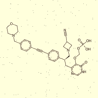 N#CC1CN(C[C@@H](Cc2nc[nH]c(=O)c2OCOP(=O)(O)O)c2ccc(C#Cc3ccc(CN4CCOCC4)cc3)cc2)C1